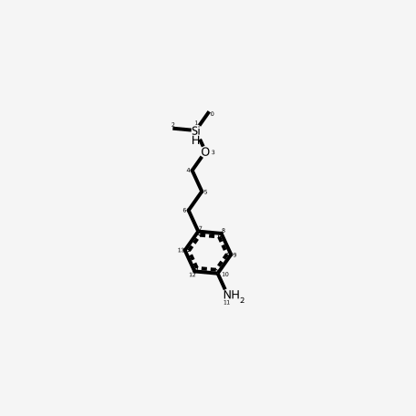 C[SiH](C)OCCCc1ccc(N)cc1